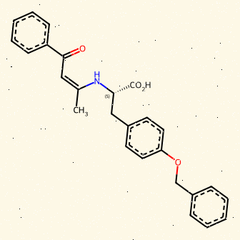 CC(=CC(=O)c1ccccc1)N[C@@H](Cc1ccc(OCc2ccccc2)cc1)C(=O)O